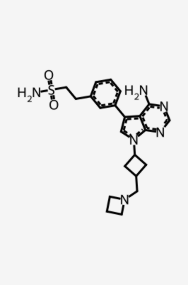 Nc1ncnc2c1c(-c1cccc(CCS(N)(=O)=O)c1)cn2C1CC(CN2CCC2)C1